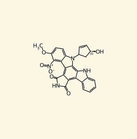 COc1ccc2c(c1[N+](=O)[O-])c1c3c(c4c5ccccc5[nH]c4c1n2C1C=C[C@@H](O)C1)C(=O)NC3=O